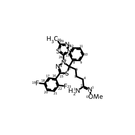 CO/N=C(\N)CCCC1(c2ccccc2)SC(c2cc(F)ccc2F)=NN1c1nnc(C)s1